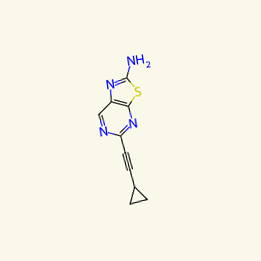 Nc1nc2cnc(C#CC3CC3)nc2s1